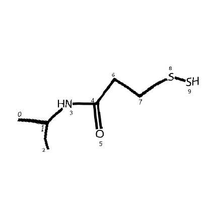 CC(C)NC(=O)CCSS